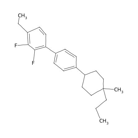 CCCC1(C)CCC(c2ccc(-c3ccc(CC)c(F)c3F)cc2)CC1